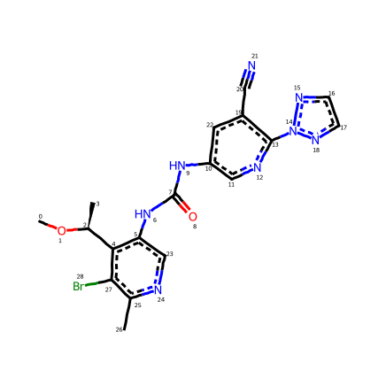 CO[C@@H](C)c1c(NC(=O)Nc2cnc(-n3nccn3)c(C#N)c2)cnc(C)c1Br